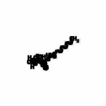 CC/C=C\C/C=C\C/C=C\C/C=C\C/C=C\C/C=C\CCC(=O)NCCOCCNP(=O)(OC[C@H]1O[C@@H](n2ccc(=O)[nH]c2=O)[C@](C)(F)[C@@H]1O)Oc1ccccc1